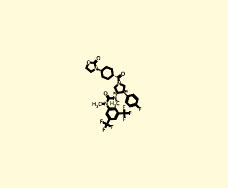 CN(C(=O)N(C)[C@@H]1CN(C(=O)[C@H]2CC[C@H](N3CCOC3=O)CC2)C[C@H]1c1ccc(F)cc1)c1cc(C(F)(F)F)cc(C(F)(F)F)c1